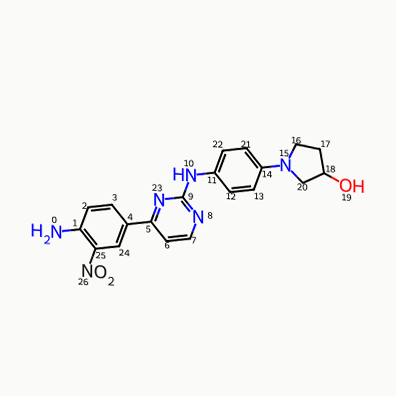 Nc1ccc(-c2ccnc(Nc3ccc(N4CCC(O)C4)cc3)n2)cc1[N+](=O)[O-]